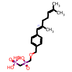 CC(C)=CCC/C(C)=C/c1ccc(COCP(=O)(O)CP(=O)(O)O)cc1